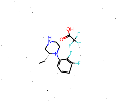 CC[C@@H]1CNCCN1c1cccc(F)c1F.O=C(O)C(F)(F)F